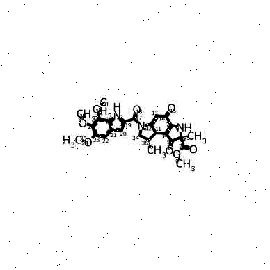 COC(=O)[C@]1(C)NC2=C(C1=O)C1C(=CC2=O)N(C(=O)c2cc3cc(OC)c(OC)c(OC)c3[nH]2)C[C@H]1C